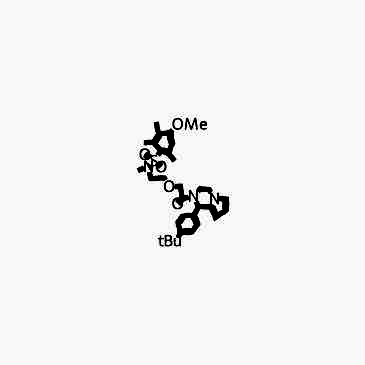 COc1cc(C)c(S(=O)(=O)N(C)CCOCC(=O)N2CCn3cccc3C2c2ccc(C(C)(C)C)cc2)c(C)c1C